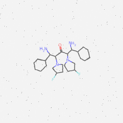 NC(C1CCCCC1)C(C(=O)C(C(N)C1CCCCC1)N1CCC(F)C1)N1CCC(F)C1